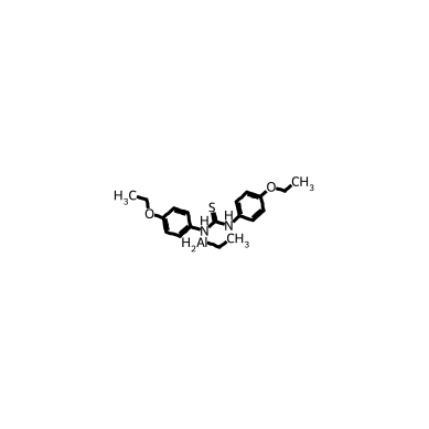 CCOc1ccc(NC(=S)Nc2ccc(OCC)cc2)cc1.C[CH2][AlH2]